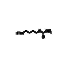 CCCCCCCCC[CH]OC(=O)C(Cl)(Cl)Cl